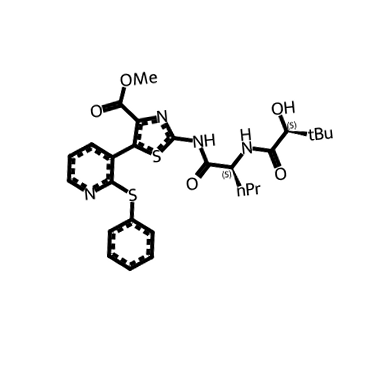 CCC[C@H](NC(=O)[C@@H](O)C(C)(C)C)C(=O)Nc1nc(C(=O)OC)c(-c2cccnc2Sc2ccccc2)s1